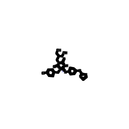 O=c1[nH]/c(=N\c2ccc(Oc3nccs3)cc2)n(Cc2ccc(Cl)cc2)c(=O)n1CC(CO)CO